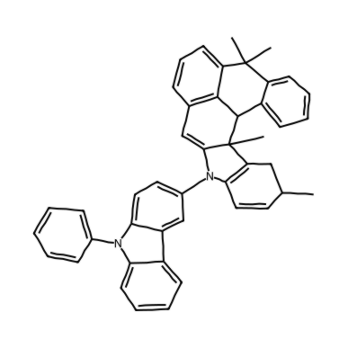 CC1C=CC2=C(C1)C1(C)C(=Cc3cccc4c3C1c1ccccc1C4(C)C)N2c1ccc2c(c1)c1ccccc1n2-c1ccccc1